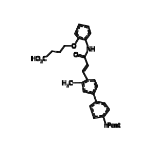 CCCCCc1ccc(-c2ccc(/C=C/C(=O)Nc3ccccc3OCCCC(=O)O)c(C)c2)cc1